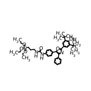 CCO[Si](CCCNC(=O)Nc1ccc(-c2oc(-c3cc(C(C)(C)C)c(O)c(C(C)(C)C)c3)nc2-c2ccccc2)cc1)(OCC)OCC